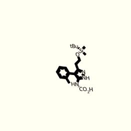 Cc1ccccc1-c1c(CCO[Si](C)(C)C(C)(C)C)n[nH]c1NC(=O)O